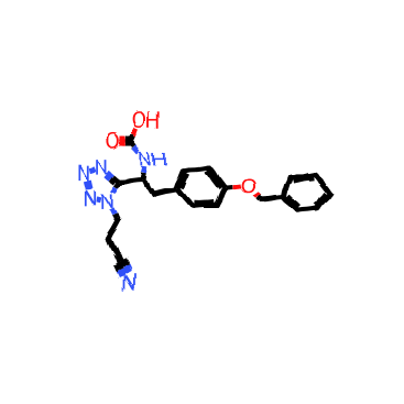 N#CCCn1nnnc1C(Cc1ccc(OCc2ccccc2)cc1)NC(=O)O